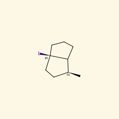 C[C@H]1CC[C@]2(I)CCCC12